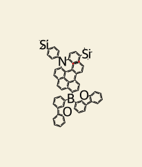 C[Si](C)(C)c1ccc(N(c2ccc([Si](C)(C)C)cc2)c2ccc3ccc4c(B(c5cccc6c5oc5ccccc56)c5cccc6c5oc5ccccc56)ccc5c6ccccc6c2c3c45)cc1